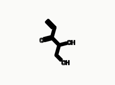 C=CC(=O)C(O)CO